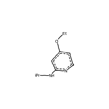 CCOc1ccnc(NC(C)C)c1